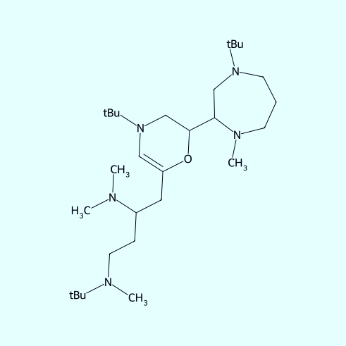 CN(C)C(CCN(C)C(C)(C)C)CC1=CN(C(C)(C)C)CC(C2CN(C(C)(C)C)CCCN2C)O1